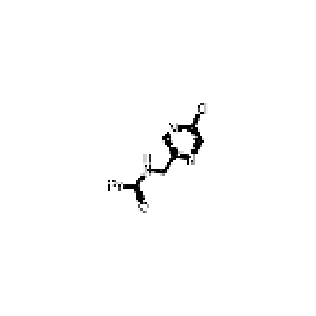 CC(C)C(=O)NCc1cnc(Cl)cn1